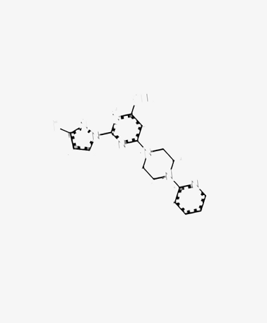 Cc1cc(N2CCN(c3ccccn3)CC2)nc(-n2ccc(F)n2)n1